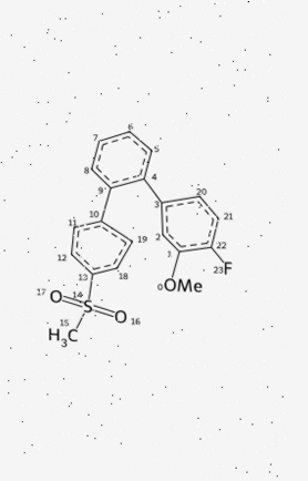 COc1cc(-c2ccccc2-c2ccc(S(C)(=O)=O)cc2)ccc1F